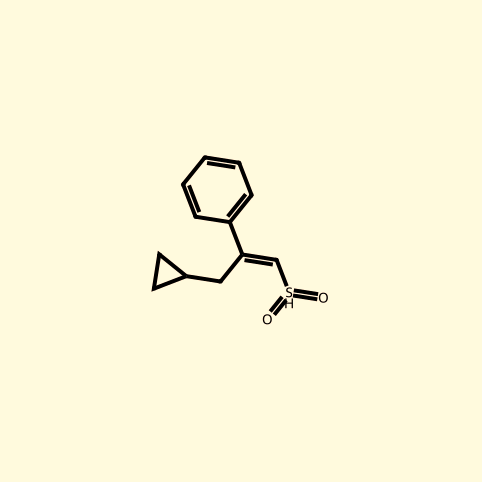 O=[SH](=O)C=C(CC1CC1)c1ccccc1